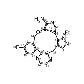 CCn1ncc2c1-c1cnc(N)c(c1)OCc1cc(F)ccc1-c1nccnc1C2